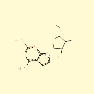 C[C@@]1(O)C(O)[C@@H](CO)O[C@H]1n1ccc2c(N)nc(N)nc21